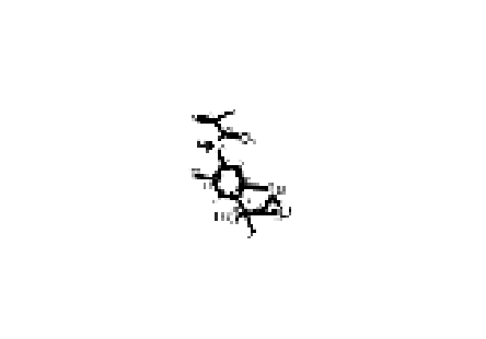 C=C(C)C(=O)Nc1cc(C)c(C(C)(O)C2CO2)cc1C